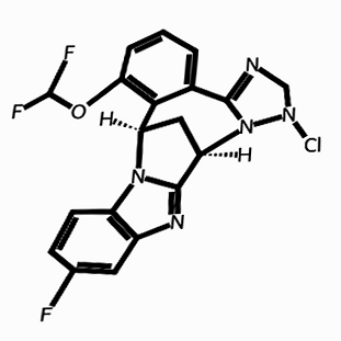 Fc1ccc2c(c1)nc1n2[C@@H]2C[C@H]1N1C(=NCN1Cl)c1cccc(OC(F)F)c12